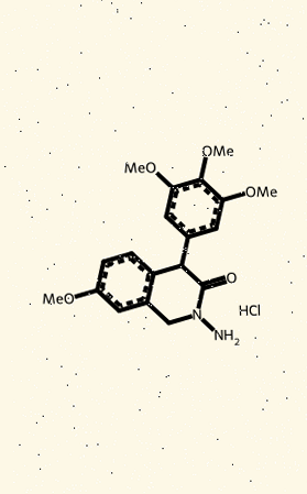 COc1ccc2c(c1)CN(N)C(=O)C2c1cc(OC)c(OC)c(OC)c1.Cl